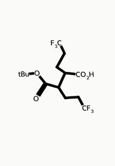 CC(C)(C)OC(=O)C(CCC(F)(F)F)C(CCC(F)(F)F)C(=O)O